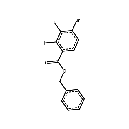 O=C(OCc1ccccc1)c1ccc(Br)c(I)c1I